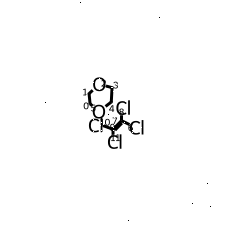 C1COCCO1.ClC(Cl)=C(Cl)Cl